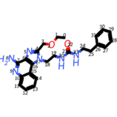 CCOCc1nc2c(N)nc3ccccc3c2n1CCNC(=O)NCCc1ccccc1